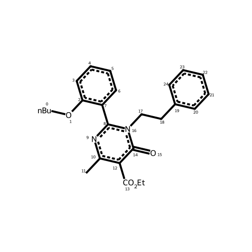 CCCCOc1ccccc1-c1nc(C)c(C(=O)OCC)c(=O)n1CCc1ccccc1